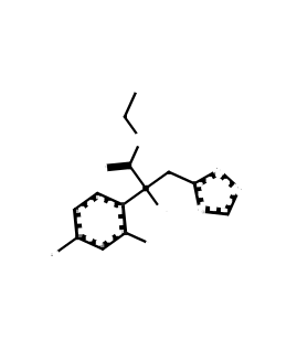 CCOC(=O)C(O)(Cc1nc[nH]n1)c1ccc(Br)cc1Cl